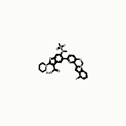 CNC(=O)c1c(N2CCCCC2)oc2cc(N(C)S(C)(=O)=O)c(-c3ccc4c(n3)-c3cc5c(F)cccc5n3CO4)cc12